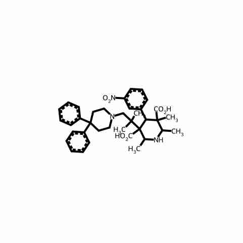 CC1NC(C)C(C(=O)O)(C(C)(C)CN2CCC(c3ccccc3)(c3ccccc3)CC2)C(c2cccc([N+](=O)[O-])c2)C1(C)C(=O)O